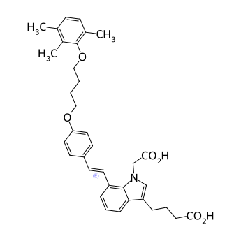 Cc1ccc(C)c(OCCCCOc2ccc(/C=C/c3cccc4c(CCCC(=O)O)cn(CC(=O)O)c34)cc2)c1C